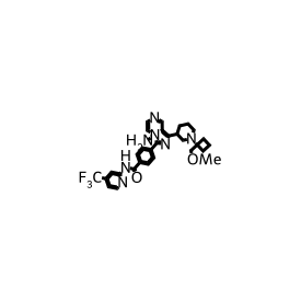 COCC1(N2CCCC(C3=C4C=NC=C[N+]4(N)C(c4ccc(C(=O)Nc5cc(C(F)(F)F)ccn5)cc4)=N3)C2)CCC1